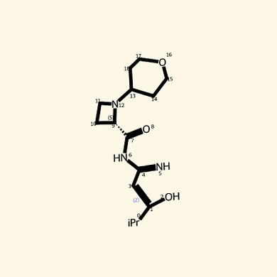 CC(C)/C(O)=C/C(=N)NC(=O)[C@@H]1CCN1C1CCOCC1